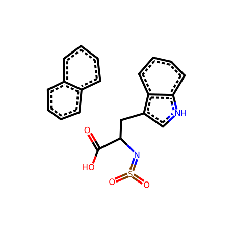 O=C(O)C(Cc1c[nH]c2ccccc12)N=S(=O)=O.c1ccc2ccccc2c1